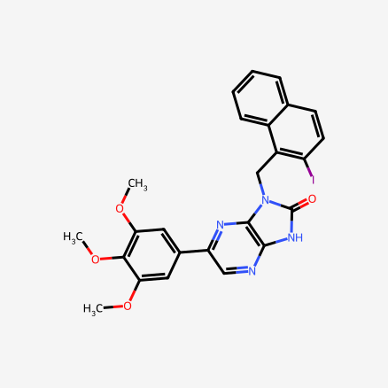 COc1cc(-c2cnc3[nH]c(=O)n(Cc4c(I)ccc5ccccc45)c3n2)cc(OC)c1OC